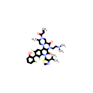 C=CC(=O)N1CC2C(=O)N(CCN(C)C)c3c(c4cc(F)c(-c5c(O)cccc5F)c(F)c4n(-c4scnc4C(C)C)c3=O)N2CC1C